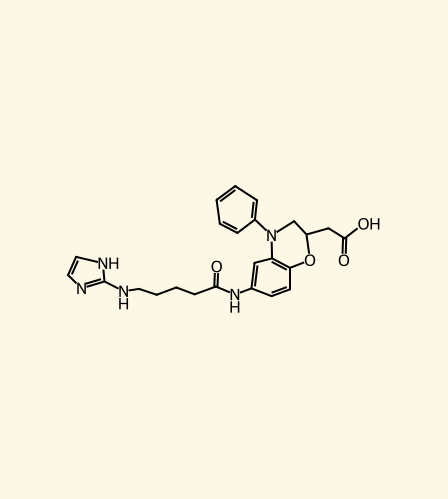 O=C(O)CC1CN(c2ccccc2)c2cc(NC(=O)CCCCNc3ncc[nH]3)ccc2O1